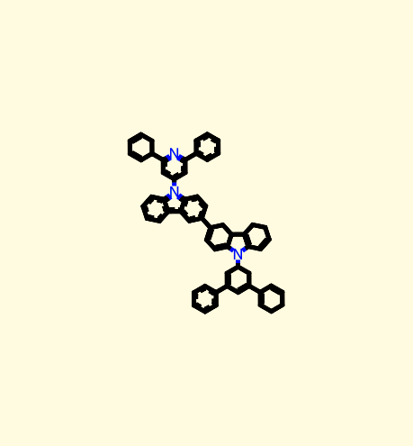 C1=CCC(c2cc(-n3c4ccccc4c4cc(C5=CC=C6C(C5)C5=C(C=CCC5)N6C5C=C(c6ccccc6)C=C(C6=CCCC=C6)C5)ccc43)cc(-c3ccccc3)n2)C=C1